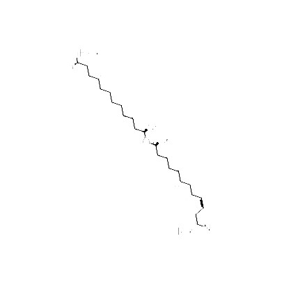 CCCCCCC(O)CCCCCCCCCCC(=O)OC(=O)CCCCCCC/C=C\C[C@H](N)CCCCCC